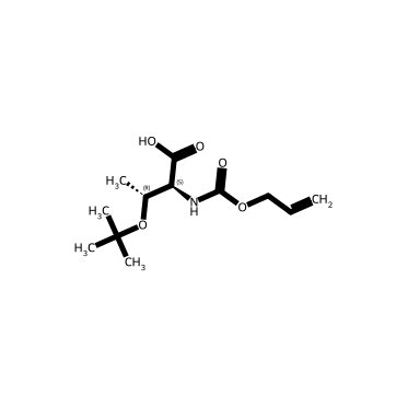 C=CCOC(=O)N[C@H](C(=O)O)[C@@H](C)OC(C)(C)C